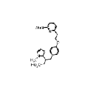 CNc1cccc(CCOc2ccc(CC(CC(=O)O)C3SC=CN3C)cc2)n1